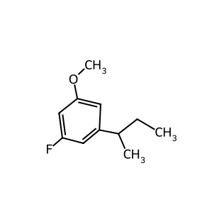 CCC(C)c1cc(F)cc(OC)c1